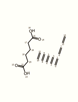 C=C.C=C.C=C.C=C.C=C.C=C.C=C.O=C(O)CCCCC(=O)O